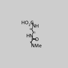 CNCC(=O)NCCNC(=O)O